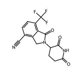 N#Cc1ccc(C(F)(F)F)c2c1CN(C1CCC(=O)NC1=O)C2=O